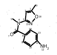 Cc1cc(N(C)C(=O)c2ccc(N)cc2)no1